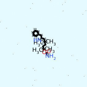 CC(C)(CCC(C)(C)OC(N)=O)CC(=N)Cc1ccccc1